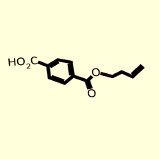 C=CCCOC(=O)c1ccc(C(=O)O)cc1